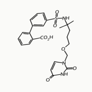 CC(C)(CCCOCn1ccc(=O)[nH]c1=O)NS(=O)(=O)c1cccc(-c2ccccc2C(=O)O)c1